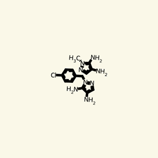 Cn1ncc(N)c1N.Nc1cnn(Cc2ccc(Cl)cc2)c1N